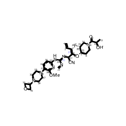 C=C/C=C(/O[C@H]1CCN(C(=O)C(C)O)C[C@H]1F)C(C#N)/N=C(\N=C)Nc1ccc(N2CCN(C3COC3)CC2)c(OC)n1